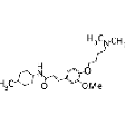 COc1cc(C=CC(=O)NC2CCC(C)CC2)ccc1OCCCCN(C)C